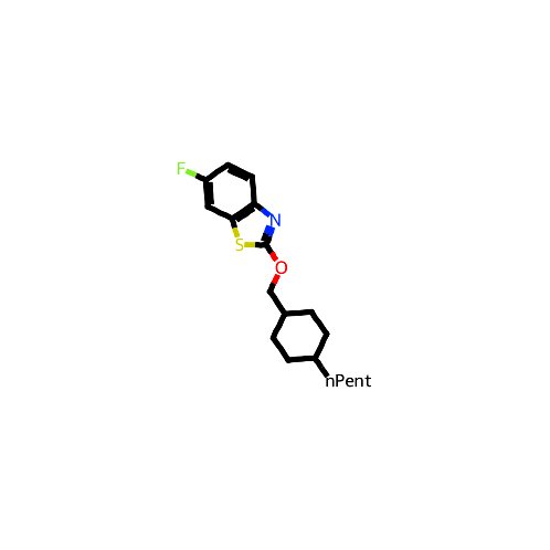 CCCCCC1CCC(COc2nc3ccc(F)cc3s2)CC1